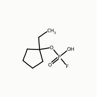 CCC1(OP(=O)(O)F)CCCC1